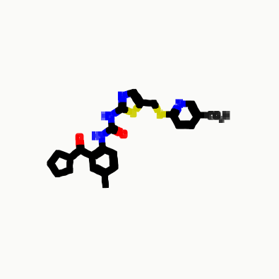 Cc1ccc(NC(=O)Nc2ncc(CSc3ccc(C(=O)O)cn3)s2)c(C(=O)C2CCCC2)c1